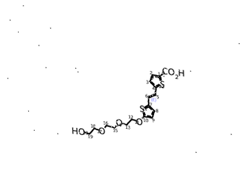 O=C(O)c1ccc(/C=C/c2ccc(OCCOCCOCCO)s2)s1